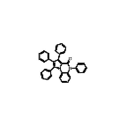 O=c1c2c(-c3ccccc3)c(-c3ccccc3)c(-c3ccccc3)n2c2ccccc2n1-c1ccccc1